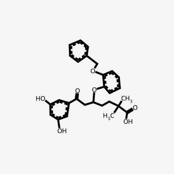 CC(C)(CCC(CC(=O)c1cc(O)cc(O)c1)Oc1ccccc1OCc1ccccc1)C(=O)O